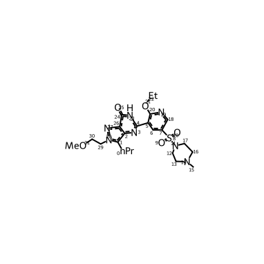 CCCc1c2nc(-c3cc(S(=O)(=O)N4CCN(C)CC4)cnc3OCC)[nH]c(=O)c2nn1CCOC